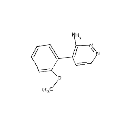 COc1ccccc1-c1ccnnc1N